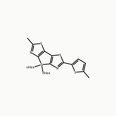 CCCCCC[Si]1(CCCCCC)c2nc(C)sc2-c2sc(-c3ccc(C)s3)nc21